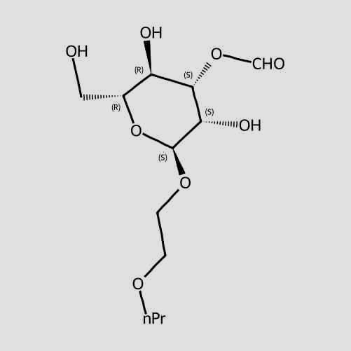 CCCOCCO[C@H]1O[C@H](CO)[C@@H](O)[C@H](OC=O)[C@@H]1O